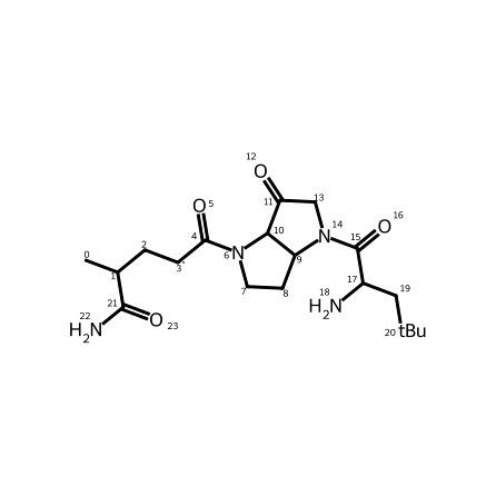 CC(C[CH]C(=O)N1CCC2C1C(=O)CN2C(=O)C(N)CC(C)(C)C)C(N)=O